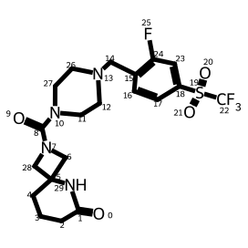 O=C1CCCC2(CN(C(=O)N3CCN(Cc4ccc(S(=O)(=O)C(F)(F)F)cc4F)CC3)C2)N1